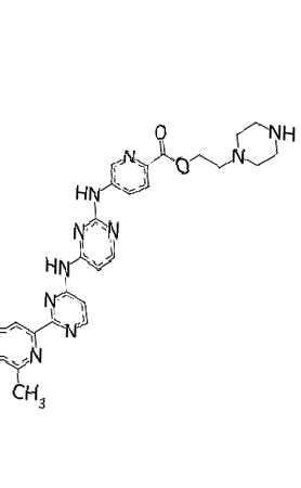 Cc1cccc(-c2nccc(Nc3ccnc(Nc4ccc(C(=O)OCCN5CCNCC5)nc4)n3)n2)n1